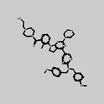 COc1ccc(CN(Cc2ccc(OC)cc2)c2ncc(-c3nc(N4CCOCC4)nc4c3CCN4c3cccc(C(=O)N4CCN(CCO)CC4)c3C)cn2)cc1